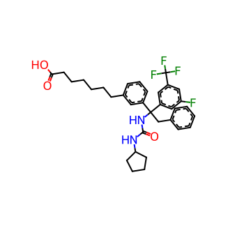 O=C(O)CCCCCCc1cccc(C(Cc2ccccc2)(NC(=O)NC2CCCC2)c2cc(F)cc(C(F)(F)F)c2)c1